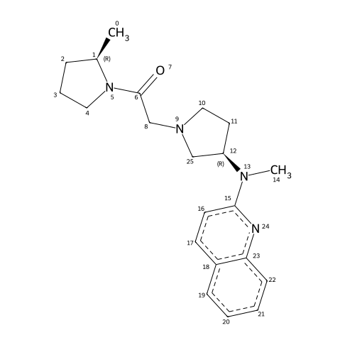 C[C@@H]1CCCN1C(=O)CN1CC[C@@H](N(C)c2ccc3ccccc3n2)C1